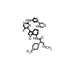 COCC(C(=O)Nc1cccc2c(-c3nc(Nc4cnn(C5COCN5)c4)ncc3F)c[nH]c12)N1CCN(C)CC1